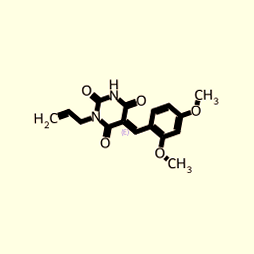 C=CCN1C(=O)NC(=O)/C(=C\c2ccc(OC)cc2OC)C1=O